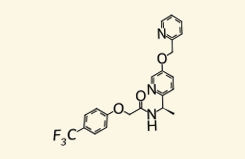 C[C@@H](NC(=O)COc1ccc(C(F)(F)F)cc1)c1ccc(OCc2ccccn2)cn1